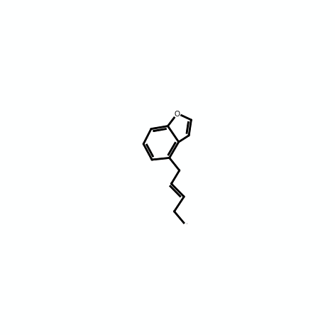 [CH2]CC=CCc1cccc2occc12